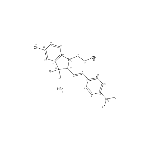 Br.CN(C)c1ccc(C=CC2N(CCO)c3ccc(Cl)cc3C2(C)C)nc1